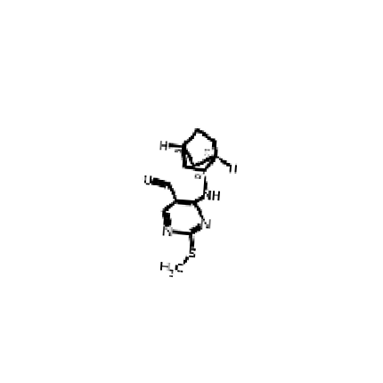 CSc1ncc(C=O)c(N[C@H]2C[C@@H]3CC[C@H]2C3)n1